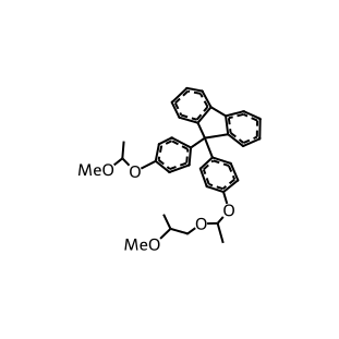 COC(C)COC(C)Oc1ccc(C2(c3ccc(OC(C)OC)cc3)c3ccccc3-c3ccccc32)cc1